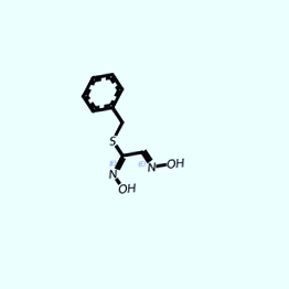 O/N=C/C(=N\O)SCc1ccccc1